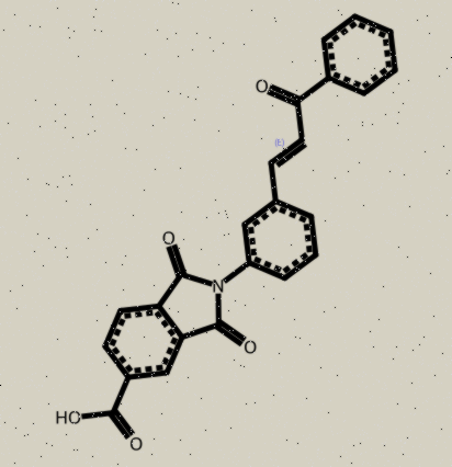 O=C(O)c1ccc2c(c1)C(=O)N(c1cccc(/C=C/C(=O)c3ccccc3)c1)C2=O